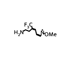 CON(C)/C=C\C=C(/CCN)C(F)(F)F